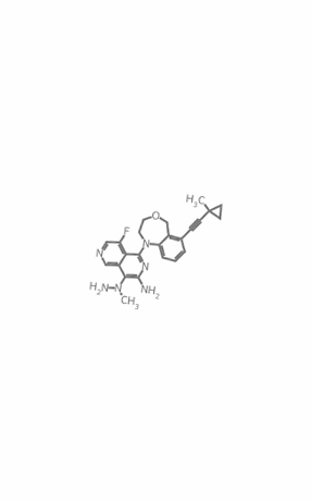 CN(N)c1c(N)nc(N2CCOCc3c(C#CC4(C)CC4)cccc32)c2c(F)cncc12